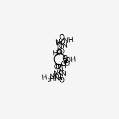 Nc1nc2c(ncn2C2OC3CCC[C@@H]4C[C@H](n5cnc6c(=O)[nH]cnc65)OC4COP(=O)(O)OC2C3O)c(=O)[nH]1